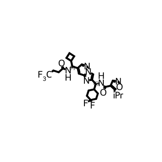 CC(C)c1oncc1C(=O)N[C@H](c1cn2ncc([C@H](NC(=O)CCC(F)(F)F)C3CCC3)cc2n1)C1CCC(F)(F)CC1